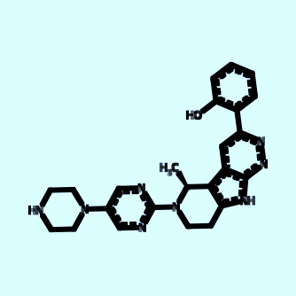 C[C@H]1c2c([nH]c3nnc(-c4ccccc4O)cc23)CCN1c1ncc(N2CCNCC2)cn1